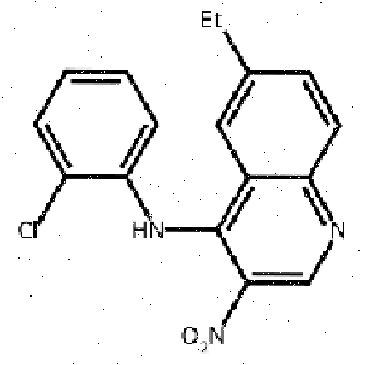 CCc1ccc2ncc([N+](=O)[O-])c(Nc3ccccc3Cl)c2c1